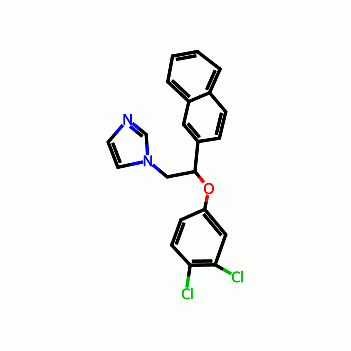 Clc1ccc(OC(Cn2ccnc2)c2ccc3ccccc3c2)cc1Cl